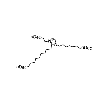 CCCCCCCCCCCCCCCCCCCc1n(CCCCCCCCCCCCCCCCC)cc[n+]1CCCCCCCCCCCC